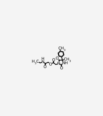 CCNC(=O)COC(=O)CN1C(=O)N[C@@](C)(c2ccc(C)cc2)C1=O